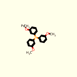 COc1cccc(P(c2cccc(OC)c2)c2cccc(OC)c2)c1.[Pd]